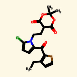 CCc1ccsc1C(=O)c1ccc(Cl)n1CCC1C(=O)OC(C)(C)OC1=O